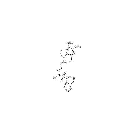 CCN(CCCN1CCc2cc(OC)c(OC)c3c2C1CC3)S(=O)(=O)c1cccc2ccccc12